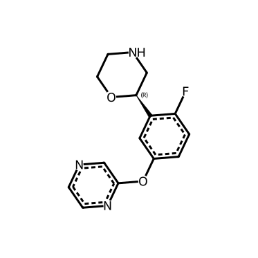 Fc1ccc(Oc2cnccn2)cc1[C@@H]1CNCCO1